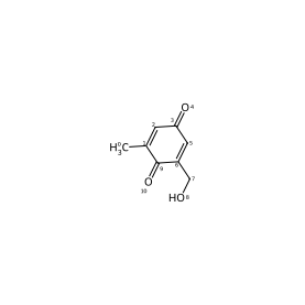 CC1=CC(=O)C=C(CO)C1=O